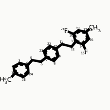 Cc1ccc(CCc2ccc(CCc3c(F)cc(C)cc3F)cc2)cc1